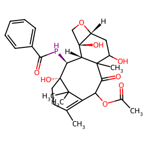 CC(=O)OC1C(=O)C2(C)C(O)C[C@H]3OC[C@@]3(O)[C@H]2[C@H](PC(=O)c2ccccc2)[C@]2(O)CCC(C)=C1C2(C)C